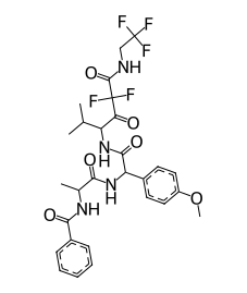 COc1ccc(C(NC(=O)C(C)NC(=O)c2ccccc2)C(=O)NC(C(=O)C(F)(F)C(=O)NCC(F)(F)F)C(C)C)cc1